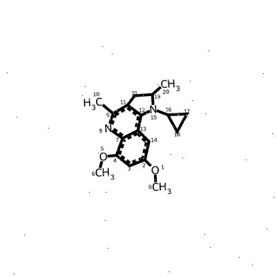 COc1cc(OC)c2nc(C)c3c(c2c1)N(C1CC1)C(C)C3